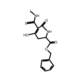 O=C1NC(C(=O)OCc2ccccc2)CC(O)=C1C(=S)NI